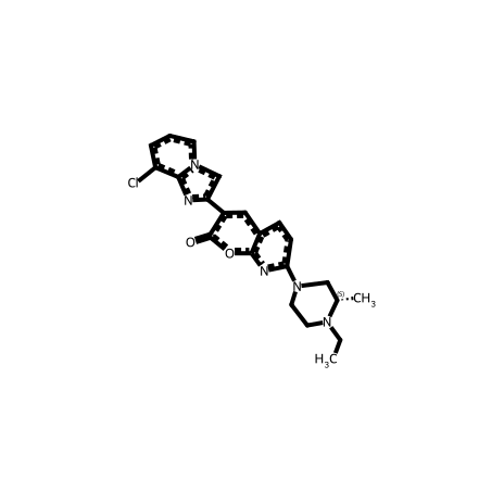 CCN1CCN(c2ccc3cc(-c4cn5cccc(Cl)c5n4)c(=O)oc3n2)C[C@@H]1C